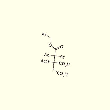 CC(=O)COC(=O)C(C(C)=O)(C(C)=O)C(CC(=O)O)(OC(C)=O)C(=O)O